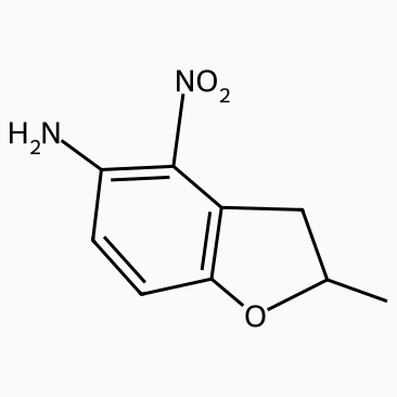 CC1Cc2c(ccc(N)c2[N+](=O)[O-])O1